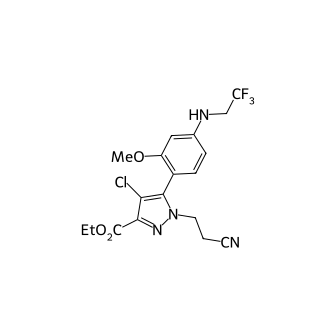 CCOC(=O)c1nn(CCC#N)c(-c2ccc(NCC(F)(F)F)cc2OC)c1Cl